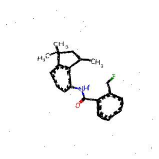 CC1CC(C)(C)c2cccc(NC(=O)c3ccccc3CF)c21